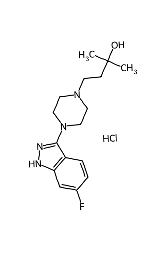 CC(C)(O)CCN1CCN(c2n[nH]c3cc(F)ccc23)CC1.Cl